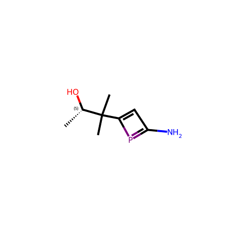 C[C@H](O)C(C)(C)C1=CC(N)=P1